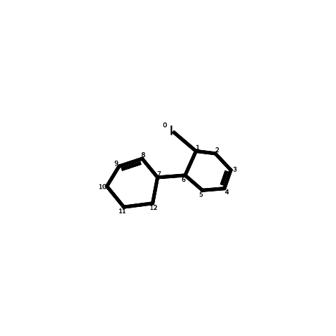 IC1CC=CCC1C1C=CCCC1